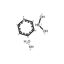 O.OBO.[KH].c1ccncc1